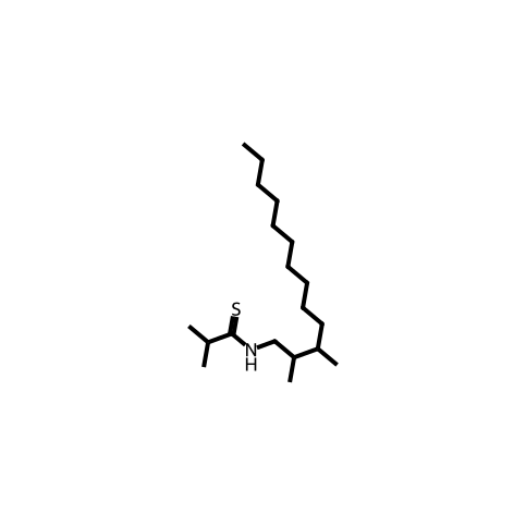 CCCCCCCCCCC(C)C(C)CNC(=S)C(C)C